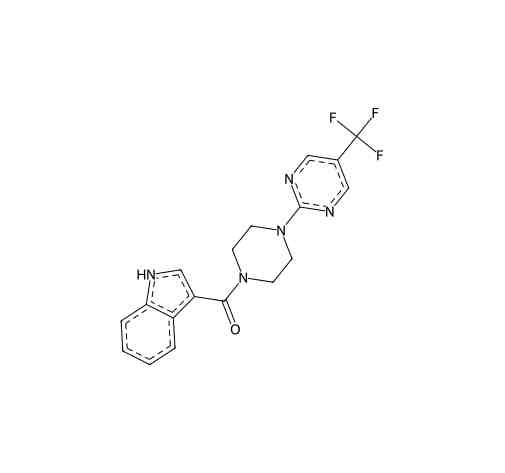 O=C(c1c[nH]c2ccccc12)N1CCN(c2ncc(C(F)(F)F)cn2)CC1